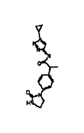 CC(C(=O)/N=C1/C=C(C2CC2)N=N1)c1ccc(N2CCNC2=O)cc1